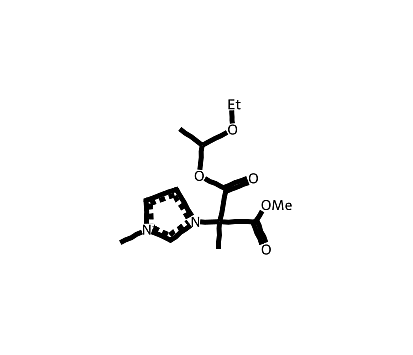 CCOC(C)OC(=O)C(C)(C(=O)OC)n1cc[n+](C)c1